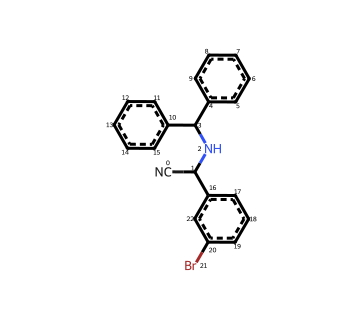 N#CC(NC(c1ccccc1)c1ccccc1)c1cccc(Br)c1